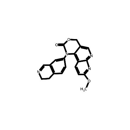 COc1ccc2c3c(cnc2n1)COC(=O)N3c1ccc2c(c1)C=NCC2